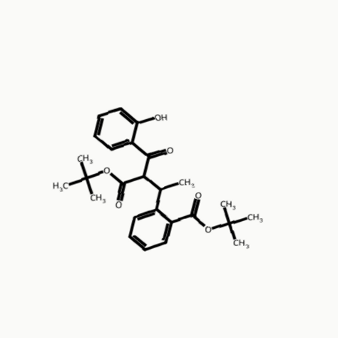 CC(c1ccccc1C(=O)OC(C)(C)C)C(C(=O)OC(C)(C)C)C(=O)c1ccccc1O